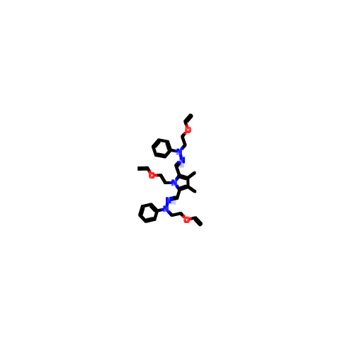 C=COCCN(/N=C/c1c(C)c(C)c(/C=N/N(CCOC=C)c2ccccc2)n1CCOC=C)c1ccccc1